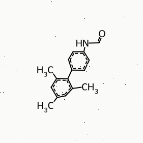 Cc1cc(C)c(-c2ccc(NC=O)cc2)c(C)c1